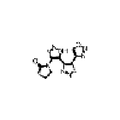 O=C1SCCN1c1nn[nH]c1-c1nnsc1-c1conn1